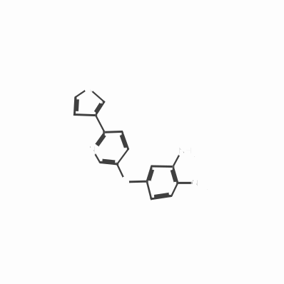 Nc1ccc(Sc2ccc(-c3ccsc3)nc2)cc1N